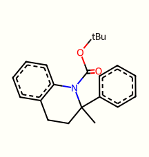 CC(C)(C)OC(=O)N1c2ccccc2CCC1(C)c1ccccc1